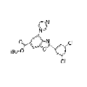 CCC(C)OC(=O)c1cc(-n2ccnc2)c2nc(-c3cc(Cl)cc(Cl)c3)oc2c1